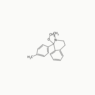 COC1(c2ccc(C)cc2)c2ccccc2CCN1C